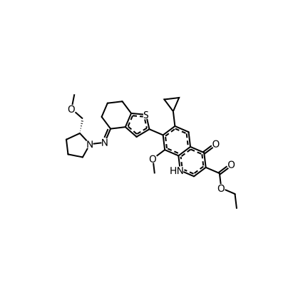 CCOC(=O)c1c[nH]c2c(OC)c(-c3cc4c(s3)CCC/C4=N\N3CCC[C@@H]3COC)c(C3CC3)cc2c1=O